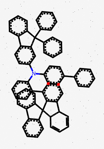 C1=CC2c3cccc(-c4ccccc4N(c4ccc(-c5ccccc5)cc4)c4ccc5c(c4)C(c4ccccc4)(c4ccccc4)c4ccccc4-5)c3C3(c4ccccc4-c4ccccc43)C2C=C1